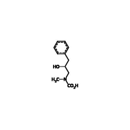 CN(CC(O)Cc1ccccc1)C(=O)O